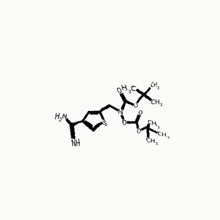 CC(C)(C)OC(=O)ON(Cc1cc(C(=N)N)cs1)C(=O)OC(C)(C)C